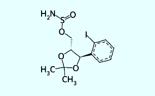 CC1(C)O[C@H](c2ccccc2I)[C@@H](COS(N)=O)O1